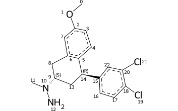 COc1ccc2c(c1)C[C@@H](N(C)N)C[C@@H]2c1ccc(Cl)c(Cl)c1